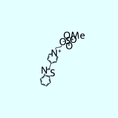 COS(=O)(=O)OCC[n+]1ccc(-c2nc3ccccc3s2)cc1